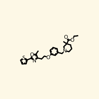 CCOC(=O)C1(C)CCCN(Cc2cccc(OCCc3nc(-c4cccs4)oc3C)c2)C1